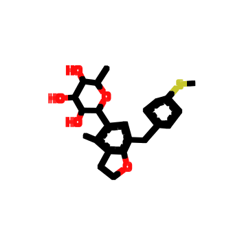 CSc1ccc(Cc2cc(C3OC(C)C(O)C(O)C3O)c(C)c3c2OCC3)cc1